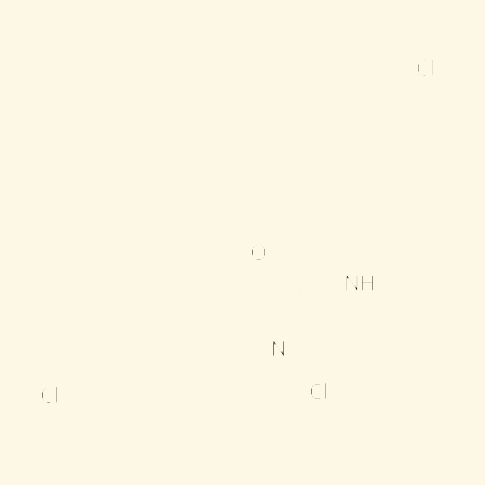 O=C(Nc1ccc(Cl)cc1)N(Cl)c1ccc(Cl)cc1